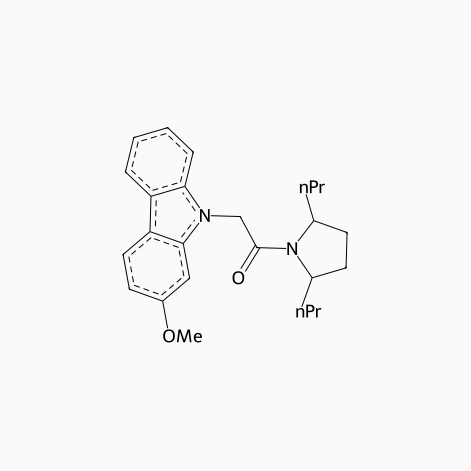 CCCC1CCC(CCC)N1C(=O)Cn1c2ccccc2c2ccc(OC)cc21